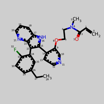 C=CC(=O)N(C)CCOc1cnccc1-c1[nH]c2cccnc2c1-c1cc(CC)ccc1F